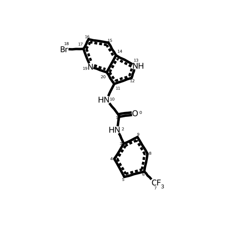 O=C(Nc1ccc(C(F)(F)F)cc1)Nc1c[nH]c2ccc(Br)nc12